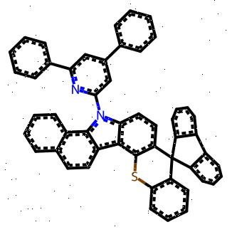 c1ccc(-c2cc(-c3ccccc3)nc(-n3c4ccc5c(c4c4ccc6ccccc6c43)Sc3ccccc3C53c4ccccc4-c4ccccc43)c2)cc1